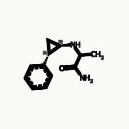 CC(N[C@@H]1C[C@H]1c1ccccc1)C(N)=O